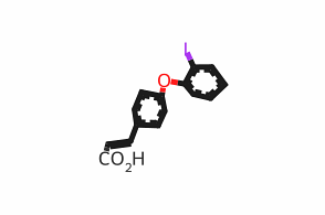 O=C(O)C=Cc1ccc(Oc2ccccc2I)cc1